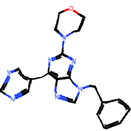 c1ccc(Cn2cnc3c(-c4cncnc4)nc(N4CCOCC4)nc32)cc1